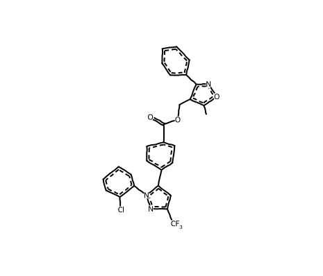 Cc1onc(-c2ccccc2)c1COC(=O)c1ccc(-c2cc(C(F)(F)F)nn2-c2ccccc2Cl)cc1